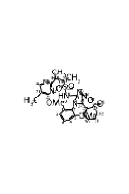 COc1cccc(OC)c1-n1c(NS(=O)(=O)[C@@H](C)[C@H](C)c2ncc(C)cn2)nnc1[C@@H]1CCCCS1(=O)=O